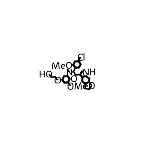 COc1cc(OCCO)cc(N(C)C(C(=O)c2c[nH]c3cc4c(cc23)CCO4)c2ccc(Cl)cc2OC)c1